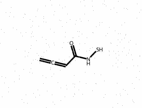 C=C=CC(=O)NS